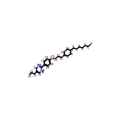 CCCCCCCC1CCC(CCCOc2ccc(-c3ncc(CCC)cn3)cc2)CC1